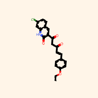 CCOc1ccc(C=CC(=O)CC(=O)c2cc3ccc(Cl)cc3[nH]c2=O)cc1